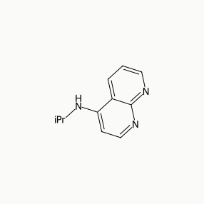 CC(C)Nc1ccnc2ncccc12